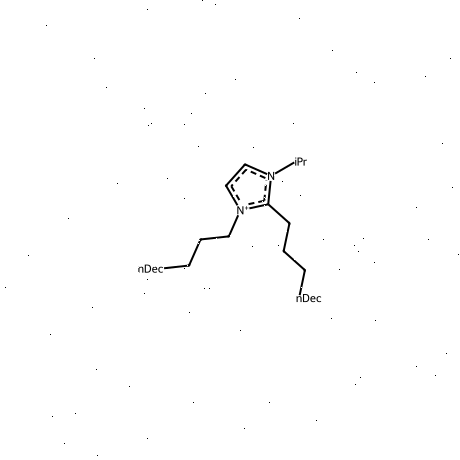 CCCCCCCCCCCCCc1n(C(C)C)cc[n+]1CCCCCCCCCCCCC